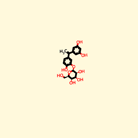 C=C(c1cc(O)cc(O)c1)c1ccc(O)c(O[C@@H]2O[C@H](CO)[C@@H](O)[C@H](O)[C@H]2O)c1